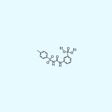 CCOP(=O)(OCC)c1cccc(NC(=O)NS(=O)(=O)c2ccc(C)cc2)c1